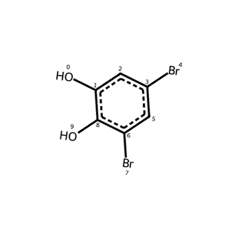 Oc1cc(Br)cc(Br)c1O